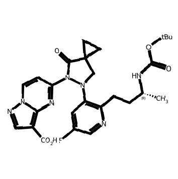 C[C@H](CCc1ncc(F)cc1N1CC2(CC2)C(=O)N1c1ccn2ncc(C(=O)O)c2n1)NC(=O)OC(C)(C)C